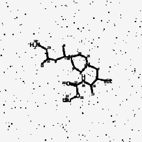 CCC(CN1CCN(C(C)CC(C)CN)CC1)C(C)NC(=O)OC(C)(C)C